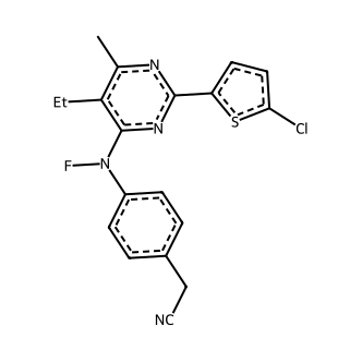 CCc1c(C)nc(-c2ccc(Cl)s2)nc1N(F)c1ccc(CC#N)cc1